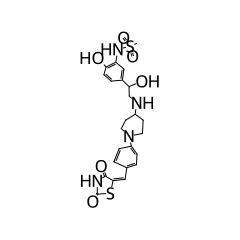 CS(=O)(=O)Nc1cc(C(O)CNC2CCN(c3ccc(C=C4SC(=O)NC4=O)cc3)CC2)ccc1O